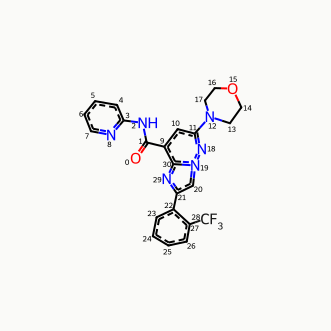 O=C(Nc1ccccn1)c1cc(N2CCOCC2)nn2cc(-c3ccccc3C(F)(F)F)nc12